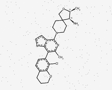 Cc1nc(N2CCC3(CC2)CO[C@@H](C)[C@H]3N)n2ccnc2c1-c1ccc2c(c1Cl)OCCC2